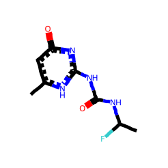 Cc1cc(=O)nc(NC(=O)NC(C)F)[nH]1